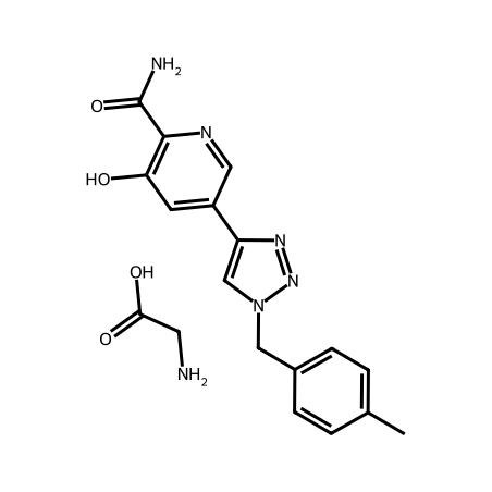 Cc1ccc(Cn2cc(-c3cnc(C(N)=O)c(O)c3)nn2)cc1.NCC(=O)O